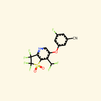 N#Cc1cc(F)cc(Oc2cnc3c(c2C(F)F)S(=O)(=O)C(F)(F)C3(F)F)c1